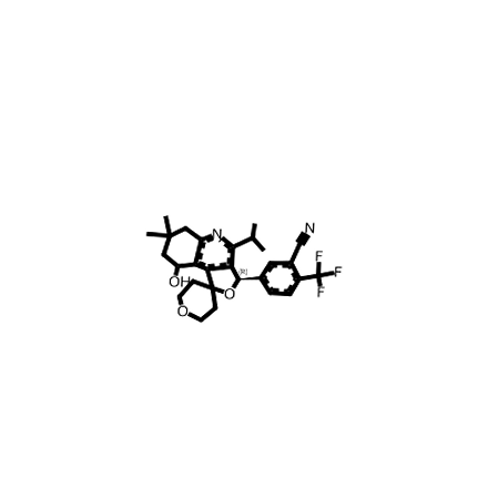 CC(C)c1nc2c(c3c1[C@@H](c1ccc(C(F)(F)F)c(C#N)c1)OC31CCOCC1)C(O)CC(C)(C)C2